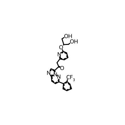 O=C(Cc1cccc(OC(CO)CO)n1)c1cnc2ccc(-c3ccccc3C(F)(F)F)nn12